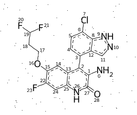 Nc1c(-c2ccc(Cl)c3[nH]ncc23)c2cc(OCCC(F)F)c(F)cc2[nH]c1=O